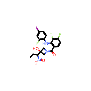 CCC([N+](=O)[O-])C1(O)CN(C(=O)c2ccc(F)c(F)c2Nc2ccc(I)cc2F)C1